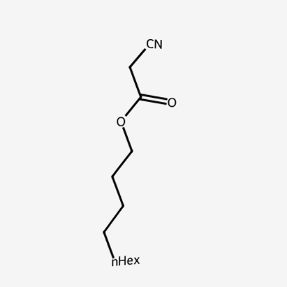 CCCCCCCCCCOC(=O)CC#N